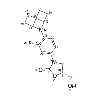 O=C1O[C@@H](CO)CN1c1ccc(N2C3CCC34SCC24)c(F)c1